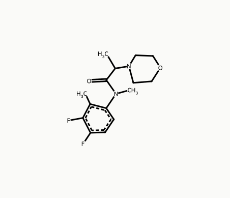 Cc1c(N(C)C(=O)C(C)N2CCOCC2)ccc(F)c1F